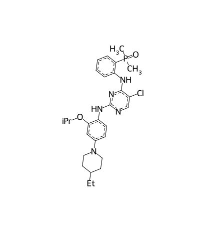 CCC1CCN(c2ccc(Nc3ncc(Cl)c(Nc4ccccc4P(C)(C)=O)n3)c(OC(C)C)c2)CC1